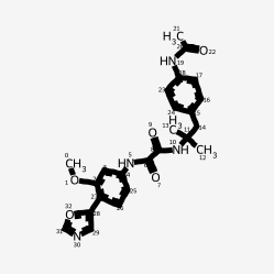 COc1cc(NC(=O)C(=O)NC(C)(C)Cc2ccc(NC(C)=O)cc2)ccc1-c1cnco1